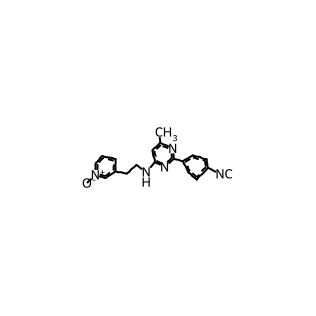 [C-]#[N+]c1ccc(-c2nc(C)cc(NCCc3ccc[n+]([O-])c3)n2)cc1